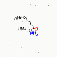 CCCCCCCCCCCC(=O)ON.[NaH]